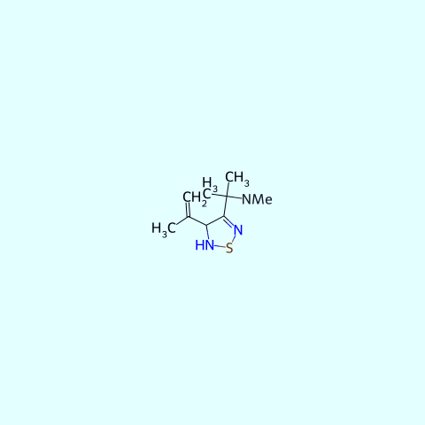 C=C(C)C1NSN=C1C(C)(C)NC